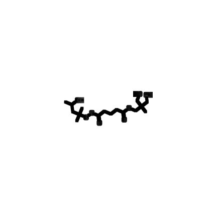 CC(O)CC(C)(C)OOC(=O)CCCC(=O)OCC(C)(CO)CO